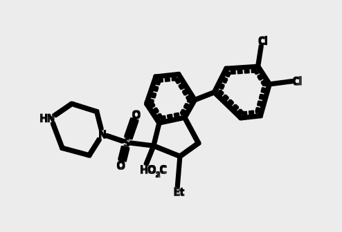 CCC1Cc2c(-c3ccc(Cl)c(Cl)c3)cccc2C1(C(=O)O)S(=O)(=O)N1CCNCC1